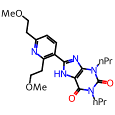 CCCn1c(=O)c2[nH]c(-c3ccc(CCOC)nc3CCOC)nc2n(CCC)c1=O